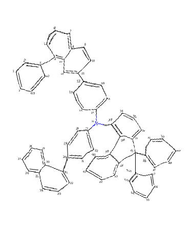 c1ccc(-c2cccc3ccc(-c4ccc(N(c5ccc(-c6cccc7ccccc67)cc5)c5cccc6c5-c5ccccc5C6(c5ccccc5)c5ccccc5)cc4)cc23)cc1